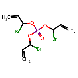 C=CC(Br)OP(=O)(OC(Br)C=C)OC(Br)C=C